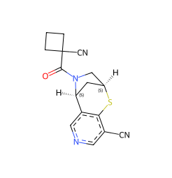 N#Cc1cncc2c1S[C@H]1C[C@@H]2N(C(=O)C2(C#N)CCC2)C1